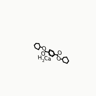 O=C(OC1CCCCC1)c1ccc(C(=O)OC2CCCCC2)cc1.[CaH2]